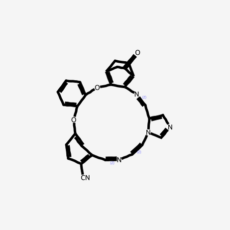 N#Cc1ccc2cc1/C=N\C=C/n1cncc1/C=N\C1=C3CCC(=C1Oc1ccccc1O2)CC3=O